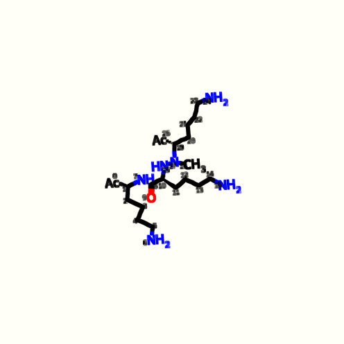 CC(=O)[C@H](CCCCN)NC(=O)[C@H](CCCCN)NN(C)[C@@H](CCCCN)C(C)=O